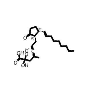 CCCCCCCC=C[C@H]1CCC(=O)[C@@H]1CC=C=C(C)CC(O)(O)C(=O)O